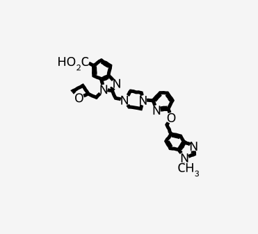 Cn1cnc2cc(COc3cccc(N4CCN(Cc5nc6ccc(C(=O)O)cc6n5CC5CCO5)CC4)n3)ccc21